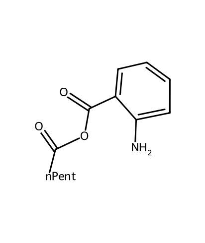 CCCCCC(=O)OC(=O)c1ccccc1N